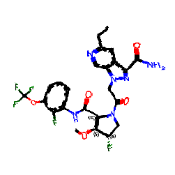 CCc1cc2c(C(N)=O)nn(CC(=O)N3C[C@H](F)[C@@H](OC)[C@H]3C(=O)Nc3cccc(OC(F)(F)F)c3F)c2cn1